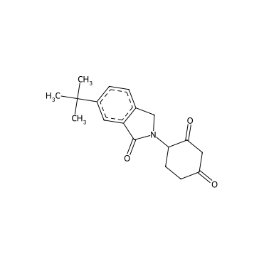 CC(C)(C)c1ccc2c(c1)C(=O)N(C1CCC(=O)CC1=O)C2